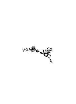 CC(C)=CCOc1ccc(C#Cc2ccc(N3CCN(S(=O)(=O)NC(C(=O)O)C(C)C)CC3)cc2)cc1C(=O)NCC#N